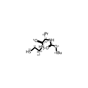 CC(C)[C@H](NC(=O)OC(C)(C)C)C(=O)N[C@H](C)CS